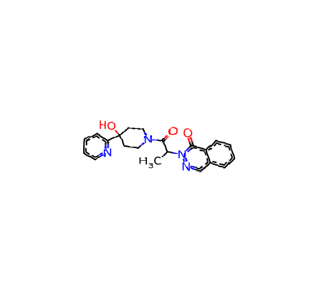 CC(C(=O)N1CCC(O)(c2ccccn2)CC1)n1ncc2ccccc2c1=O